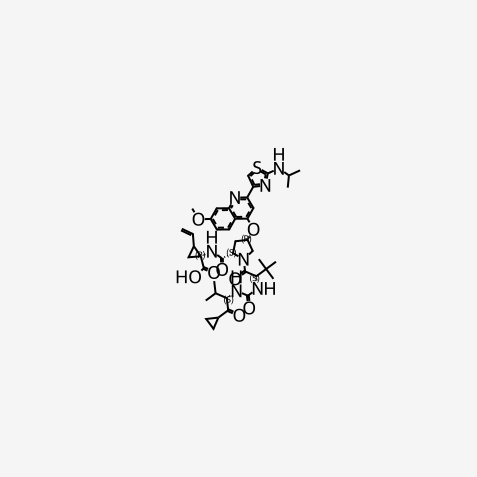 C=CC1C[C@]1(NC(=O)[C@@H]1C[C@@H](Oc2cc(-c3csc(NC(C)C)n3)nc3cc(OC)ccc23)CN1C(=O)[C@@H](NC(=O)N[C@H](C(=O)C1CC1)C(C)C)C(C)(C)C)C(=O)O